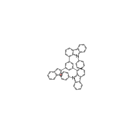 c1ccc(-n2c3ccccc3c3cccc(-c4cc(-c5cc6ccccc6o5)cc(-c5cccc6c7ccccc7n(-c7ccccc7)c56)c4)c32)cc1